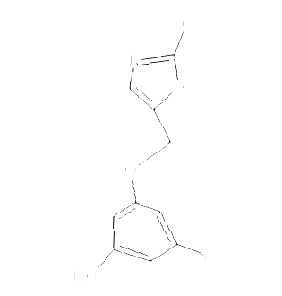 Cc1ncc(COc2cc(O)cc(F)c2)o1